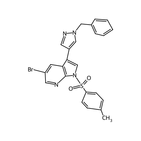 Cc1ccc(S(=O)(=O)n2cc(-c3cnn(Cc4ccccc4)c3)c3cc(Br)cnc32)cc1